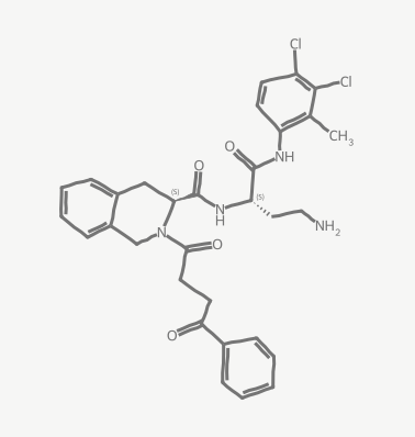 Cc1c(NC(=O)[C@H](CCN)NC(=O)[C@@H]2Cc3ccccc3CN2C(=O)CCC(=O)c2ccccc2)ccc(Cl)c1Cl